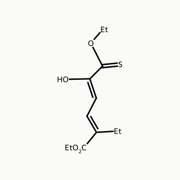 CCOC(=O)C(=CC=C(O)C(=S)OCC)CC